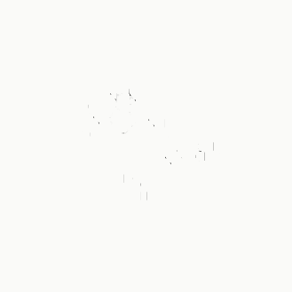 CCC1(CC)CC(Nc2ccc([N+](=O)[O-])c3nonc23)CC(CC)(CC)N1